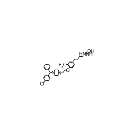 ONNCCCCc1ccc(OCCN2CCN([C@H](c3ccccc3)c3ccc(Cl)cc3)CC2)c(C(F)(F)F)c1